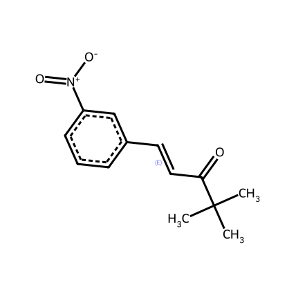 CC(C)(C)C(=O)/C=C/c1cccc([N+](=O)[O-])c1